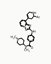 CC(=O)C1CC(c2cccn3nc(Nc4ccc(C(=O)N(C)C5CCN(C)CC5)cc4)nc23)=CCN1